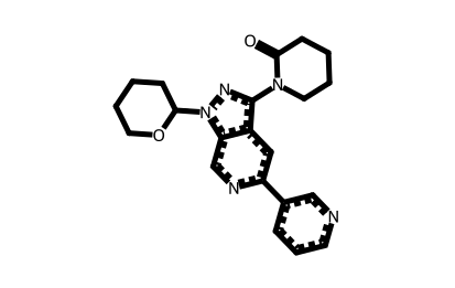 O=C1CCCCN1c1nn(C2CCCCO2)c2cnc(-c3cccnc3)cc12